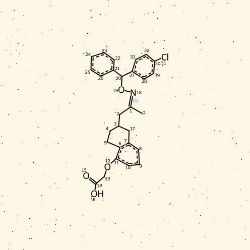 C/C(CC1CCc2c(cccc2OCC(=O)O)C1)=N/OC(c1ccccc1)c1ccc(Cl)cc1